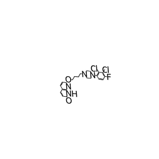 O=c1ccc2ccc(OCCCCN3CCN(c4ccc(F)c(Cl)c4Cl)CC3)nc2[nH]1